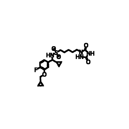 O=c1[nH]c(=O)n(CCCCCS(=O)(=O)NC(c2ccc(F)c(OCC3CC3)c2)C2CC2)[nH]1